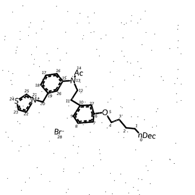 CCCCCCCCCCCCCCOc1cccc(CCN(C(C)=O)c2cccc(C[n+]3ccsc3)c2)c1.[Br-]